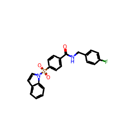 O=C(NCc1ccc(F)cc1)c1ccc(S(=O)(=O)n2ccc3ccccc32)cc1